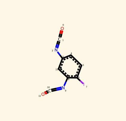 O=C=Nc1ccc(I)c(N=C=O)c1